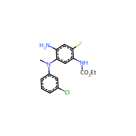 CCOC(=O)Nc1cc(N(C)c2cccc(Cl)c2)c(N)cc1F